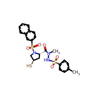 Cc1ccc(S(=O)(=O)NN(C)C(=O)[C@@H]2C[C@@H](S)CN2S(=O)(=O)c2ccc3ccccc3c2)cc1